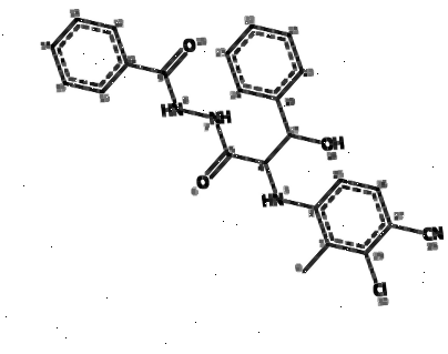 Cc1c(NC(C(=O)NNC(=O)c2ccccc2)C(O)c2ccccc2)ccc(C#N)c1Cl